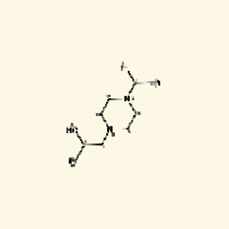 CCCC(CC)N1CCN(CC(O)C(C)C)CC1